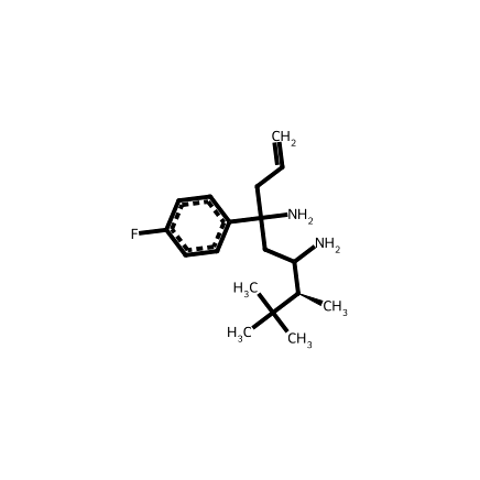 C=CCC(N)(CC(N)[C@@H](C)C(C)(C)C)c1ccc(F)cc1